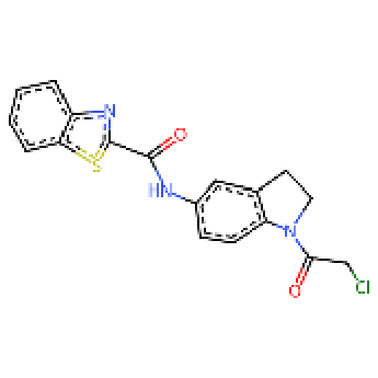 O=C(Nc1ccc2c(c1)CCN2C(=O)CCl)c1nc2ccccc2s1